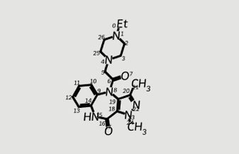 CCN1CCN(CC(=O)N2c3ccccc3NC(=O)c3c2c(C)nn3C)CC1